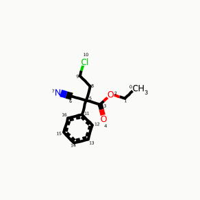 CCOC(=O)C(C#N)(CCCl)c1ccccc1